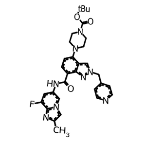 Cc1cn2cc(NC(=O)c3ccc(N4CCN(C(=O)OC(C)(C)C)CC4)c4cn(Cc5ccncc5)nc34)cc(F)c2n1